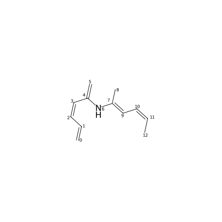 C=C/C=C\C(=C)N/C(C)=C/C=C\C